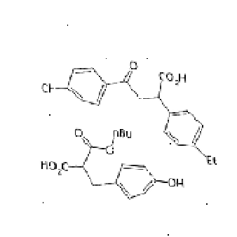 CCCCOC(=O)C(Cc1ccc(O)cc1)C(=O)O.CCc1ccc(C(CC(=O)c2ccc(Cl)cc2)C(=O)O)cc1